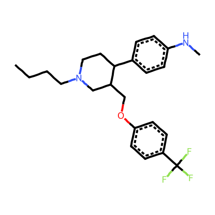 CCCCN1CCC(c2ccc(NC)cc2)C(COc2ccc(C(F)(F)F)cc2)C1